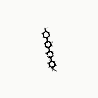 CCCC1CCC(c2ccc(-c3cnc(-c4ccc(C#N)cc4)nc3)cc2)CC1